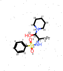 CCCC(NS(=O)(=O)c1ccccc1)C(O)N1CCCCC1